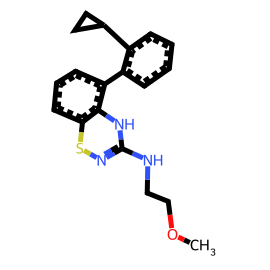 COCCNC1=NSc2cccc(-c3ccccc3C3CC3)c2N1